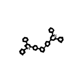 c1ccc(-c2cc(-c3ccccc3)nc(-c3ccc(-c4cccc(-c5ccc(-c6cc(-c7ccccc7)nc(-c7ccccc7)c6)cc5)c4)cc3)c2)cc1